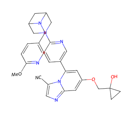 COc1ccc(CN2C3CC2CN(c2ccc(-c4cc(OCC5(O)CC5)cc5ncc(C#N)n45)cn2)C3)cn1